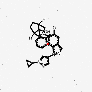 Cc1ncccc1C1(O)[C@@H]2CC[C@H]1CN(c1cc3c(cnn3-c3cnn(C4CC4)c3)cc1Cl)C2